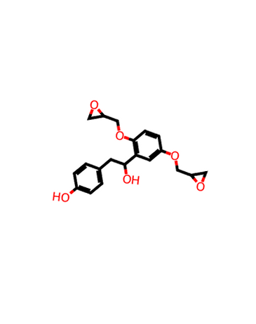 Oc1ccc(CC(O)c2cc(OCC3CO3)ccc2OCC2CO2)cc1